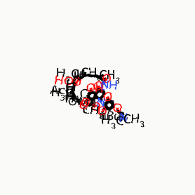 CCCCOc1cc(OCCN(C)C)cc2oc3c4c(=O)c5c(O)c(C)c6c(c5c-3nc12)C(=O)[C@@](C)(O/C=C/[C@H](OC)[C@@H](C)[C@@H](OC(C)=O)[C@@H]1O[C@H]([C@@H](C)[C@H]1O)[C@@H](C)/C=C/C=C(/C)C(=O)N4)O6